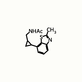 CC(=O)NCC1CC1c1cccc2nc(C)sc12